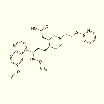 CON[C@H](CC[C@@H]1CCN(CCSc2ccccn2)C[C@@H]1CC(=O)O)c1ccnc2ccc(OC)cc12